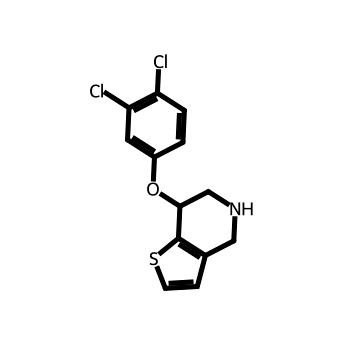 Clc1ccc(OC2CNCc3ccsc32)cc1Cl